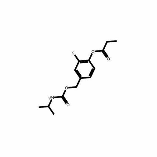 CCC(=O)Oc1ccc(COC(=O)NC(C)C)cc1F